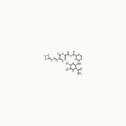 CCc1nc(Nc2cccc([C@H](C)CNC(=O)CN(C)C(=O)/C=C/CN3CCC3)c2)c(C(N)=O)nc1CC